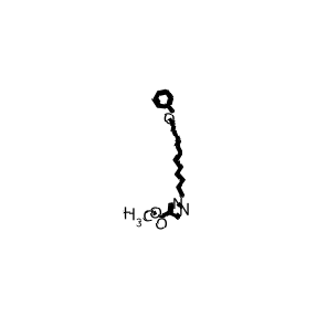 COC(=O)c1cnn(CCCCCCCCCCCOCc2ccccc2)c1